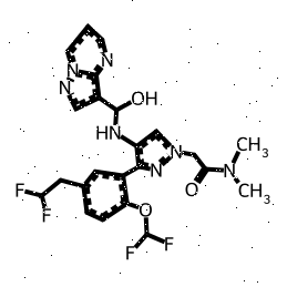 CN(C)C(=O)Cn1cc(NC(O)c2cnn3cccnc23)c(-c2cc(CC(F)F)ccc2OC(F)F)n1